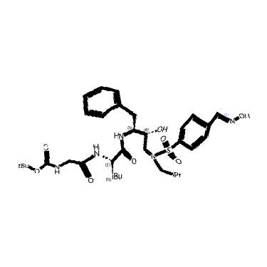 CC[C@H](C)[C@H](NC(=O)CNC(=O)OC(C)(C)C)C(=O)N[C@@H](Cc1ccccc1)[C@H](O)CN(CC(C)C)S(=O)(=O)c1ccc(/C=N/O)cc1